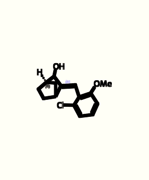 COc1cccc(Cl)c1/C=C1\C2CC[C@H](C2)C1O